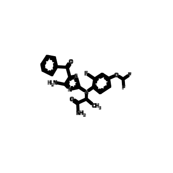 CC(C(N)=O)N(c1nc(N)c(C(=O)c2ccccc2)s1)c1ccc(OC(F)F)cc1F